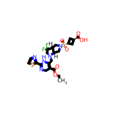 CCOC(=O)C1=C(CN2CC(F)(F)[C@@H]3CN(S(=O)(=O)[C@H]4C[C@H](C(=O)O)C4)C[C@@H]32)NC(c2nccs2)=NC1